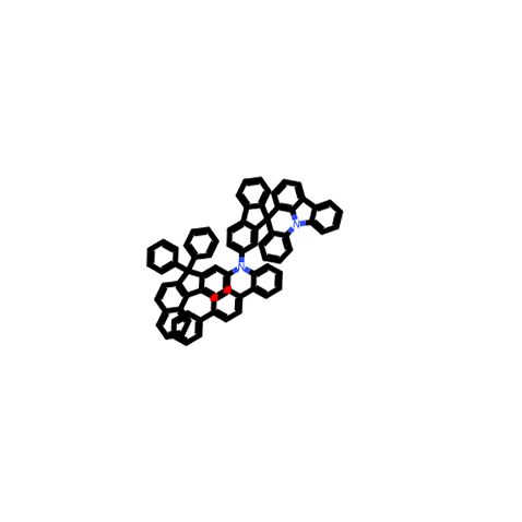 c1ccc(-c2ccc(-c3ccccc3N(c3ccc4c(c3)C(c3ccccc3)(c3ccccc3)c3ccc5ccccc5c3-4)c3ccc4c(c3)C3(c5ccccc5-4)c4ccccc4-n4c5ccccc5c5cccc3c54)cc2)cc1